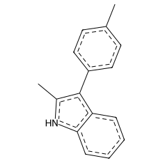 Cc1ccc(-c2c(C)[nH]c3ccccc23)cc1